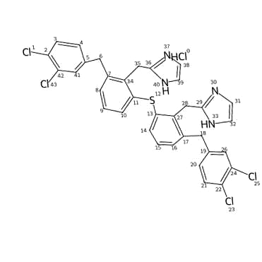 Cl.Clc1ccc(Cc2cccc(Sc3cccc(Cc4ccc(Cl)c(Cl)c4)c3Cc3ncc[nH]3)c2Cc2ncc[nH]2)cc1Cl